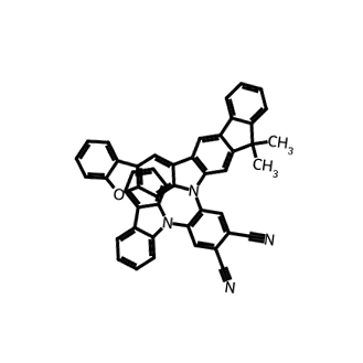 CC1(C)c2ccccc2-c2cc3c4cc5c(cc4n(-c4cc(C#N)c(C#N)cc4-n4c6ccccc6c6ccccc64)c3cc21)oc1ccccc15